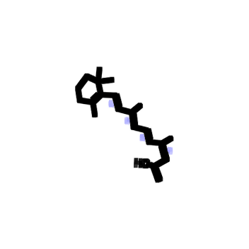 C=C(O)\C=C(C)/C=C/C=C(C)/C=C/C1=C(C)CCCC1(C)C